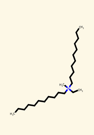 CCCCCCCCCCC[N+](C)(CC)CCCCCCCCCCC